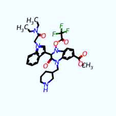 CCN(CC)C(=O)Cn1cc(C2C(=O)N(CC3CCCNC3)c3cc(C(=O)OC)ccc3N2OC(=O)C(F)(F)F)c2ccccc21